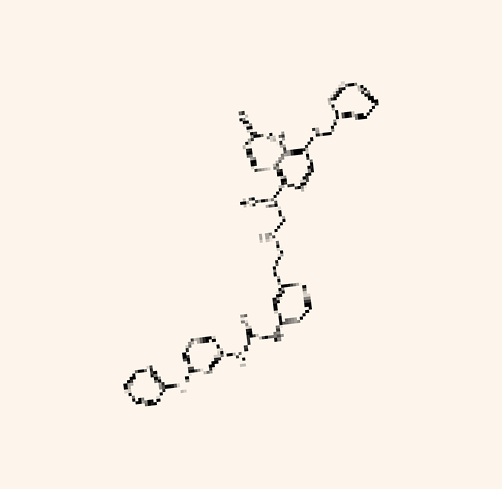 O=C(Nc1cccc(CCNC[C@H](O)c2ccc(OCc3ccccc3)c3[nH]c(=O)ccc23)c1)Nc1cccc(Oc2ccccc2)c1